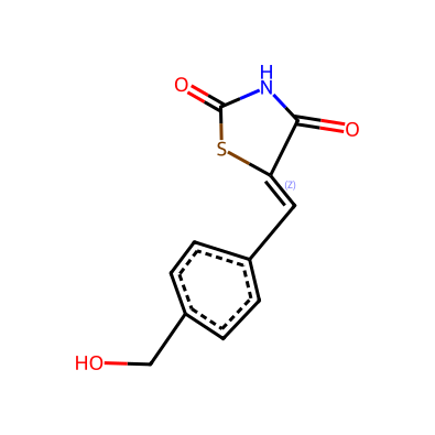 O=C1NC(=O)/C(=C/c2ccc(CO)cc2)S1